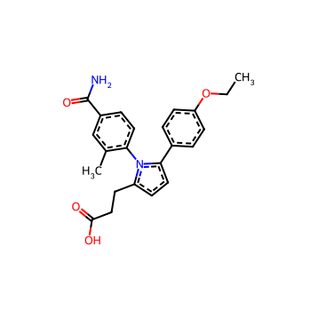 CCOc1ccc(-c2ccc(CCC(=O)O)n2-c2ccc(C(N)=O)cc2C)cc1